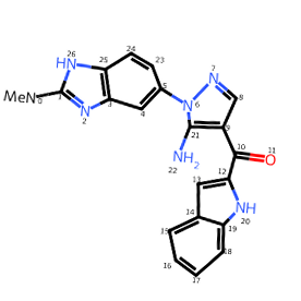 CNc1nc2cc(-n3ncc(C(=O)c4cc5ccccc5[nH]4)c3N)ccc2[nH]1